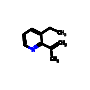 C=C(C)c1ncccc1CC